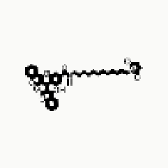 O=C(NCCCCCCCCCCCCN1C(=O)C=CC1=O)c1ccc(C(c2c(O)c3ccccc3oc2=O)c2c(O)c3ccccc3oc2=O)cc1